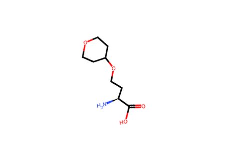 N[C@@H](CCOC1CCOCC1)C(=O)O